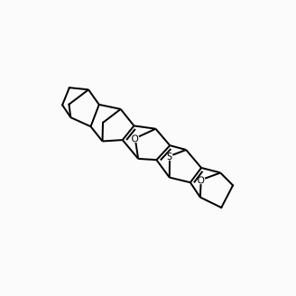 C1CC2OC1C1=C2C2SC1C1=C2C2OC1C1=C2C2CC1C1C3CCC(C3)C21